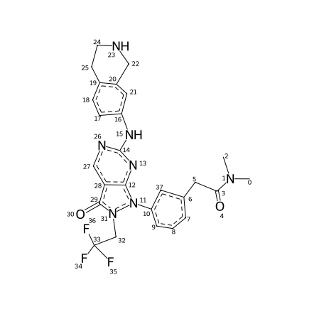 CN(C)C(=O)Cc1cccc(-n2c3nc(Nc4ccc5c(c4)CNCC5)ncc3c(=O)n2CC(F)(F)F)c1